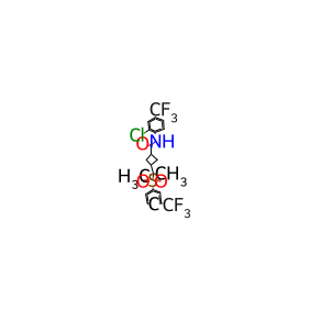 CC(C)(C1CC(C(=O)Nc2ccc(C(F)(F)F)cc2Cl)C1)S(=O)(=O)c1cccc(C(F)(F)F)c1